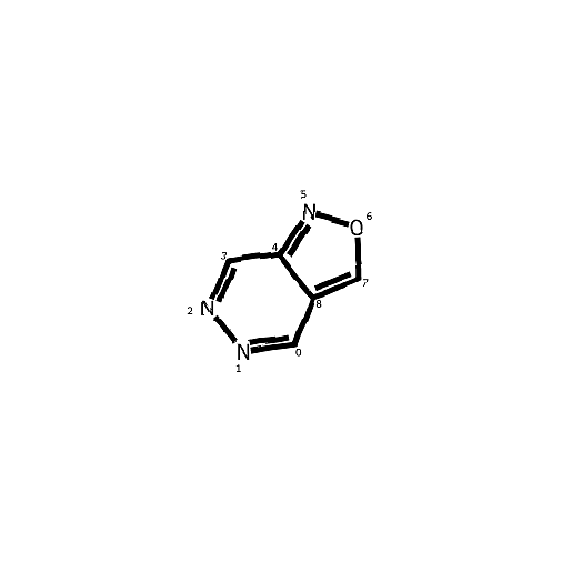 c1nncc2nocc12